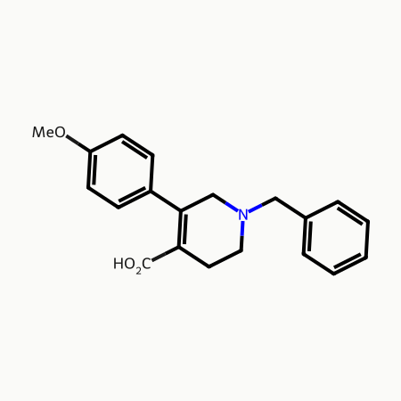 COc1ccc(C2=C(C(=O)O)CCN(Cc3ccccc3)C2)cc1